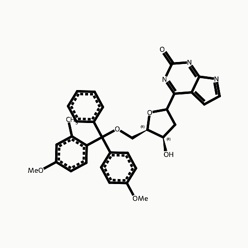 COc1ccc(C(OC[C@H]2OC(C3=NC(=O)N=C4N=CC=C43)C[C@H]2O)(c2ccccc2)c2ccc(OC)cc2C)cc1